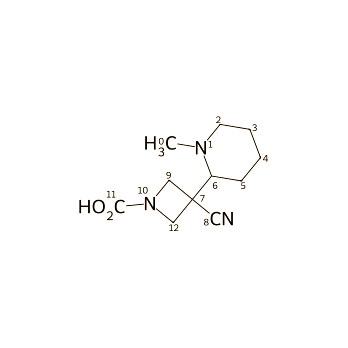 CN1CCCCC1C1(C#N)CN(C(=O)O)C1